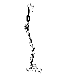 CC#Cc1ccc(-n2cc(COCCOCCOCCOCCOCCC(=O)OC(C)(C)C)nn2)cc1